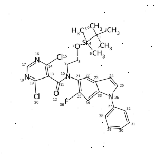 CC(C)(C)[Si](C)(C)OCCN(C(=O)c1c(Cl)ncnc1Cl)c1cc2ccn(-c3ccccc3)c2cc1F